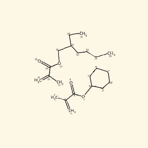 C=C(C)C(=O)OC1CCCCC1.C=C(C)C(=O)OCC(CC)CCCC